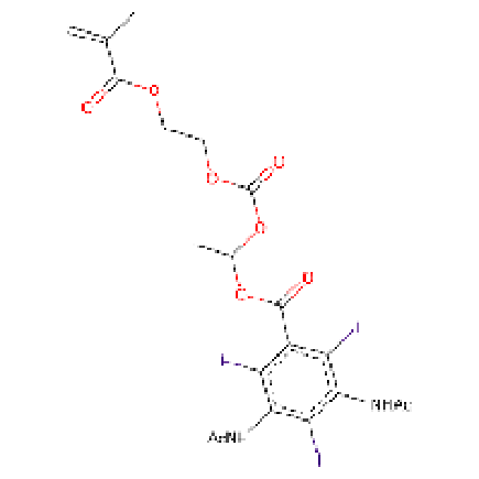 C=C(C)C(=O)OCCOC(=O)OC(C)OC(=O)c1c(I)c(NC(C)=O)c(I)c(NC(C)=O)c1I